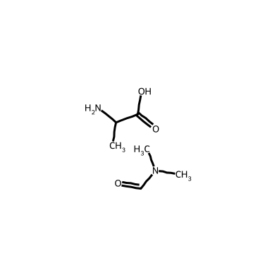 CC(N)C(=O)O.CN(C)C=O